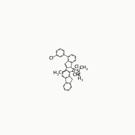 CCC1=Cc2c(-c3cccc(Cl)c3)cccc2[CH]1[Zr]([Cl])([Cl])([c]1cccc2c1Cc1ccccc1-2)[SiH](C)C